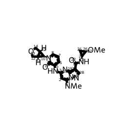 CNc1cc(Nc2cccn([C@H]3[C@@H]4COC[C@@H]43)c2=O)nc2c(C(=O)N[C@H]3C[C@@H]3OC)cnn12